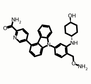 NOCc1ccc(-n2c3ccccc3c3c(-c4ccc(C(N)=O)nc4)cccc32)cc1N[C@H]1CC[C@H](O)CC1